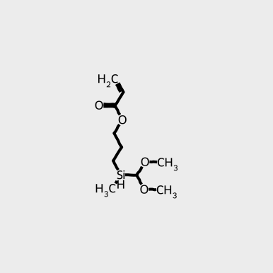 C=CC(=O)OCCC[SiH](C)C(OC)OC